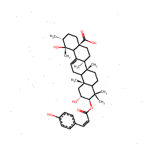 C[C@@H]1CC[C@]2(C(=O)O)CC[C@]3(C)C(=CCC4[C@@]5(C)C[C@@H](O)[C@H](OC(=O)/C=C\c6ccc(O)cc6)C(C)(C)C5CC[C@]43C)C2[C@]1(C)O